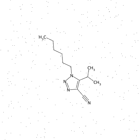 CCCCCCn1nnc(C#N)c1C(C)C